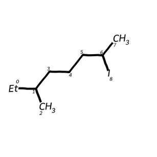 CCC(C)CCCC(C)I